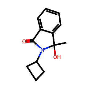 CC1(O)c2ccccc2C(=O)N1C1CCC1